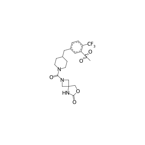 CS(=O)(=O)c1cc(CC2CCN(C(=O)N3CC4(COC(=O)N4)C3)CC2)ccc1C(F)(F)F